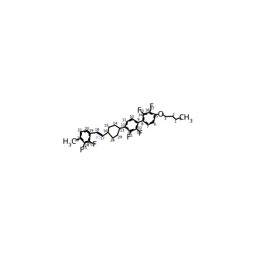 CCCCOc1ccc(-c2ccc(C3CCC(/C=C/c4ccc(C)c(F)c4F)CC3)c(F)c2F)c(F)c1F